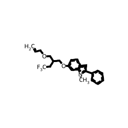 C=CCOCC(COc1ccc2cc(-c3ccccc3)n(C)c2c1)CC(F)(F)F